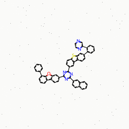 c1ccc(-c2cccc3c2oc2cc(-c4nc(-c5ccc6ccccc6c5)nc(-c5ccc6sc7cc(-c8ccccc8-c8cnccn8)ccc7c6c5)n4)ccc23)cc1